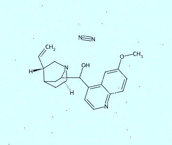 C=C[C@@H]1CN2CCC1C[C@@H]2C(O)c1ccnc2ccc(OC)cc12.N#N